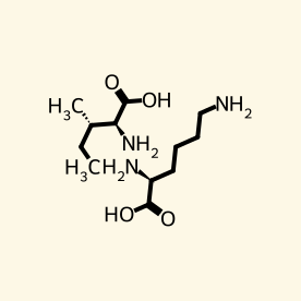 CC[C@H](C)[C@H](N)C(=O)O.NCCCC[C@H](N)C(=O)O